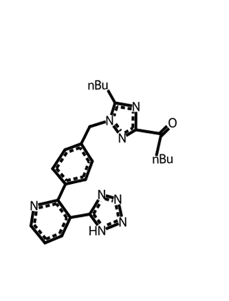 CCCCC(=O)c1nc(CCCC)n(Cc2ccc(-c3ncccc3-c3nnn[nH]3)cc2)n1